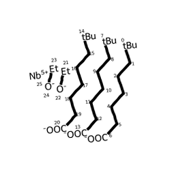 CC(C)(C)CCCCCC(=O)[O-].CC(C)(C)CCCCCC(=O)[O-].CC(C)(C)CCCCCC(=O)[O-].CC[O-].CC[O-].[Nb+5]